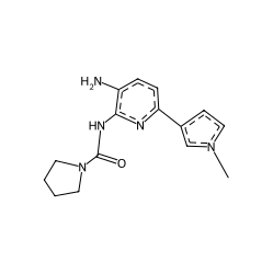 Cn1ccc(-c2ccc(N)c(NC(=O)N3CCCC3)n2)c1